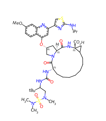 COc1ccc2c(O[C@@H]3C[C@H]4C(=O)N[C@]5(C(=O)O)CC5CCCCCCC[C@H](NC(=O)NC(CN(C)S(=O)(=O)N(C)C)C(C)(C)C)C(=O)N4C3)cc(-c3csc(NC(C)C)n3)nc2c1